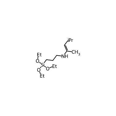 CCO[Si](CCCNC(C)=CC(C)C)(OCC)OCC